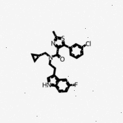 Cc1nc(C(=O)N(CCc2c[nH]c3ccc(F)cc23)CC2CC2)c(-c2cccc(Cl)c2)s1